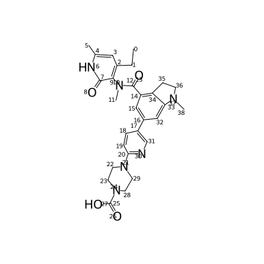 CCc1cc(C)[nH]c(=O)c1N(C)C(=O)c1cc(-c2ccc(N3CCN(C(=O)O)CC3)nc2)cc2c1CCN2C